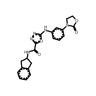 O=C(NC1Cc2ccccc2C1)c1nnc(Nc2cccc(N3CCOC3=O)c2)o1